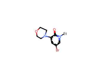 CCn1cc(Br)cc(N2CCOCC2)c1=O